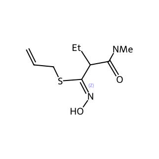 C=CCS/C(=N\O)C(CC)C(=O)NC